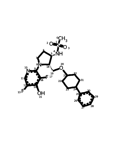 CS(=O)(=O)N[C@H]1CCN(c2ncc(F)c(O)c2F)[C@H]1COC1CCC(c2ccccc2)CC1